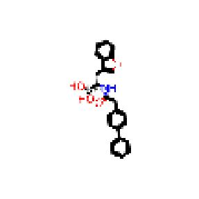 O=C(Cc1ccc(-c2ccccc2)cc1)N[C@@H](Cc1coc2ccccc12)B(O)O